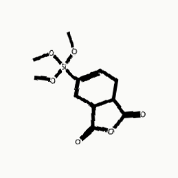 CO[Si](OC)(OC)C1=CCC2C(=O)OC(=O)C2C1